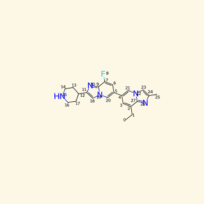 CCc1cc(-c2cc(F)c3nc(C4CCNCC4)cn3c2)cn2cc(C)nc12